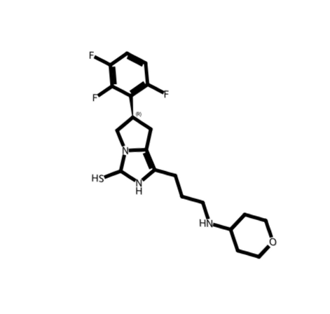 Fc1ccc(F)c([C@H]2CC3=C(CCCNC4CCOCC4)NC(S)N3C2)c1F